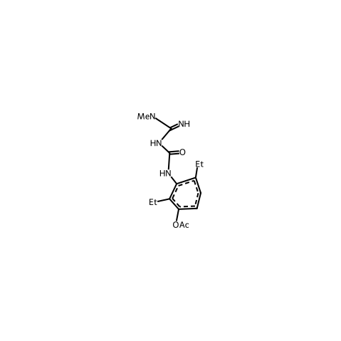 CCc1ccc(OC(C)=O)c(CC)c1NC(=O)NC(=N)NC